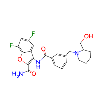 NC(=O)c1oc2c(F)cc(F)cc2c1NC(=O)c1cccc(CN2CCCCC2CO)c1